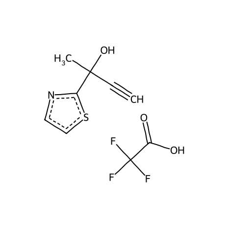 C#CC(C)(O)c1nccs1.O=C(O)C(F)(F)F